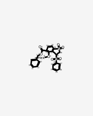 CCCCCCOc1c(C(=O)OCc2ccccc2)ccc2c1C(S(=O)(=O)c1ccccc1)CS2(=O)=O